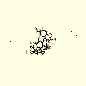 C=Cc1ccc(OC(C)C(C)Oc2c(C)c(C)c(S(=O)(=O)O)c(C(F)(F)F)c2C(F)(F)F)cc1